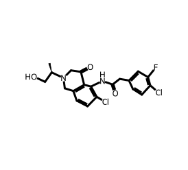 C[C@H](CO)N1CC(=O)c2c(ccc(Cl)c2NC(=O)Cc2ccc(Cl)c(F)c2)C1